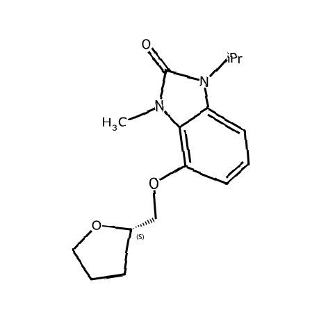 CC(C)n1c(=O)n(C)c2c(OC[C@@H]3CCCO3)cccc21